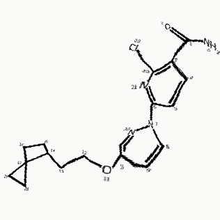 NC(=O)c1ccc(-n2ccc(OCCC3CCC34CC4)n2)nc1Cl